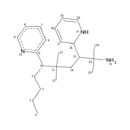 CCCCC(c1ccccn1)C(C)(C)CC(C1C=CC=CN1)C(C)(C)N